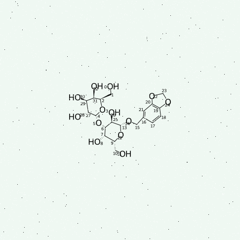 OC[C@H]1O[C@H](O[C@H]2[C@@H](O)[C@@H](CO)O[C@@H](OCc3ccc4c(c3)OCO4)[C@@H]2O)[C@H](O)[C@@H](O)[C@H]1O